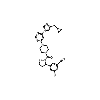 N#Cc1cc(F)cc(C2CCON2C(=O)C2CCN(c3cc(-n4cnc(CC5CC5)c4)ncn3)CC2)c1